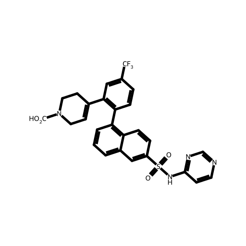 O=C(O)N1CC=C(c2cc(C(F)(F)F)ccc2-c2cccc3cc(S(=O)(=O)Nc4ccncn4)ccc23)CC1